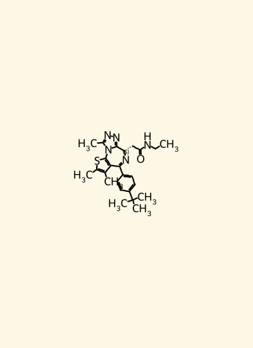 CCNC(=O)C[C@@H]1N=C(c2ccc(C(C)(C)C)cc2)c2c(sc(C)c2C)-n2c(C)nnc21